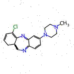 CN1CCN(c2ccc3c(c2)=NC2=C(Cl)C=CCC24CC=CC=C4N=3)CC1